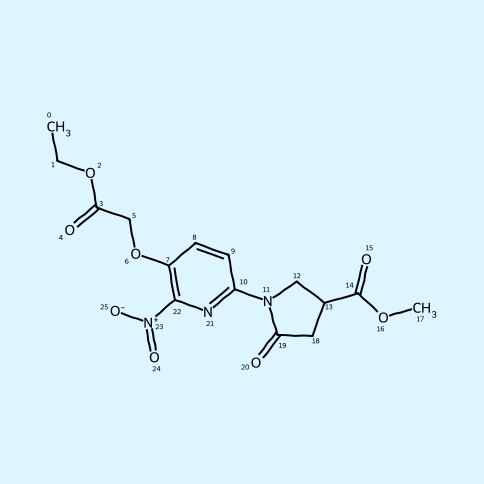 CCOC(=O)COc1ccc(N2CC(C(=O)OC)CC2=O)nc1[N+](=O)[O-]